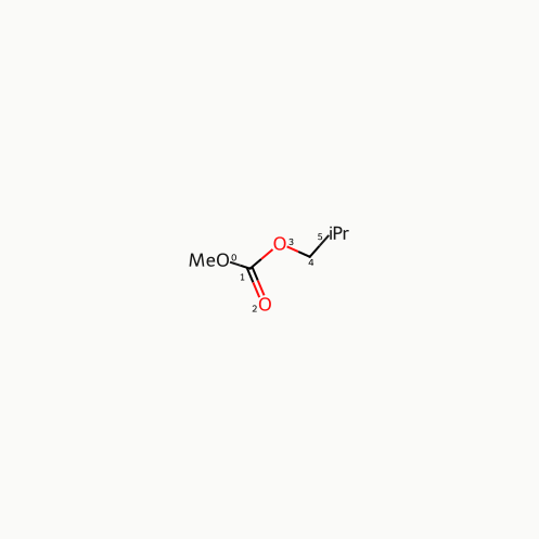 [CH2]OC(=O)OCC(C)C